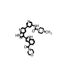 CN1CCN(C(=O)Nc2cncc(-c3cnc4[nH]nc(-c5cc6c(C(=O)N7CCOCC7)cccc6[nH]5)c4c3)c2)CC1